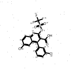 O=C(O)c1c(OS(=O)(=O)C(F)(F)F)nc2ccc(Cl)cc2c1-c1cccc(Cl)c1